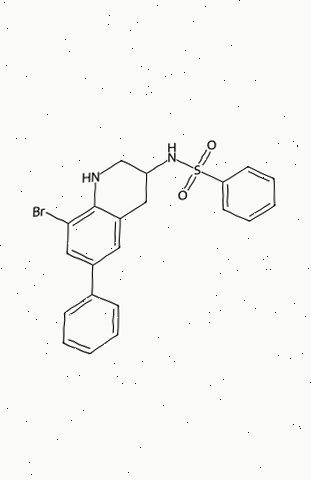 O=S(=O)(NC1CNc2c(Br)cc(-c3ccccc3)cc2C1)c1ccccc1